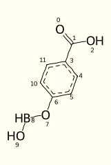 O=C(O)c1ccc(OBO)cc1